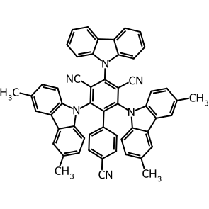 Cc1ccc2c(c1)c1cc(C)ccc1n2-c1c(C#N)c(-n2c3ccccc3c3ccccc32)c(C#N)c(-n2c3ccc(C)cc3c3cc(C)ccc32)c1-c1ccc(C#N)cc1